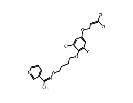 CC(=NOCCCCOc1c(Cl)cc(OCC=C(Cl)Cl)cc1Cl)c1cccnc1